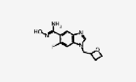 NC(=NO)c1cc2ncn(CC3CCO3)c2cc1F